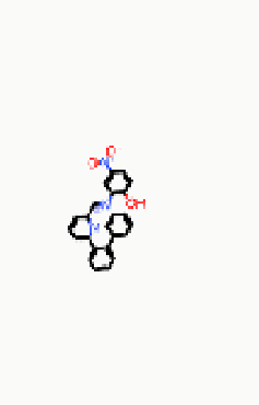 O=[N+]([O-])c1ccc(O)c(/N=C/c2cccc(-c3ccccc3-c3ccccc3)n2)c1